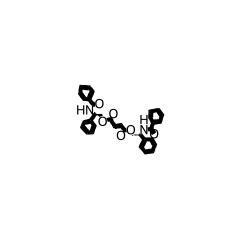 O=C(/C=C/C(=O)OC[C@H](NC(=O)c1ccccc1)c1ccccc1)OC[C@H](NC(=O)c1ccccc1)c1ccccc1